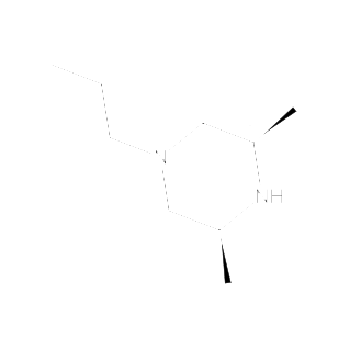 CCCN1C[C@@H](C)N[C@@H](C)C1